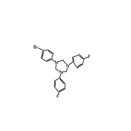 Fc1ccc(N2CN(c3ccc(F)cc3)CN(c3ccc(Br)cc3)C2)cc1